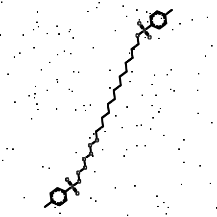 Cc1ccc(S(=O)(=O)OCCCCCCCCCCCCCCOOOOOOOS(=O)(=O)c2ccc(C)cc2)cc1